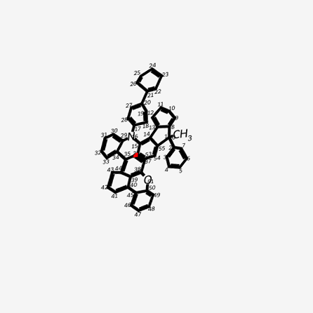 CC1(c2ccccc2)c2ccccc2-c2c(N(c3ccc(-c4ccccc4)cc3)c3ccccc3-c3ccc4c5c(cccc35)-c3ccccc3O4)cccc21